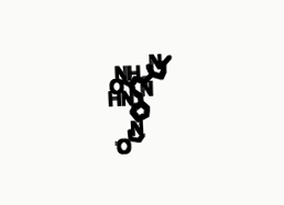 COC1CCN(c2ccc3c(c2)[nH]c2c(C(N)=O)cc(-c4ccc(C)nc4)nc23)C1